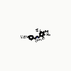 CCCOc1c(/C=C/C(=O)c2ccc(NC)cc2)cc(C(C)(C)C)c(O)c1C(C)(C)C